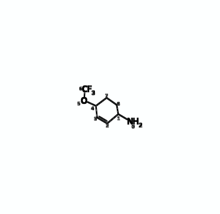 NC1C=CC(OC(F)(F)F)CC1